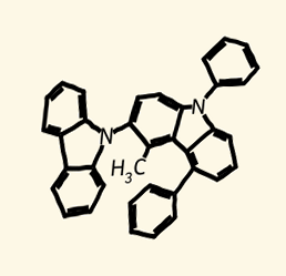 Cc1c(-n2c3ccccc3c3ccccc32)ccc2c1c1c(-c3ccccc3)cccc1n2-c1ccccc1